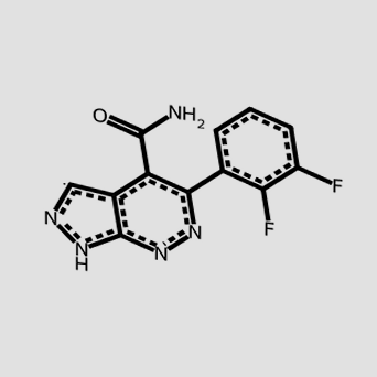 NC(=O)c1c(-c2cccc(F)c2F)nnc2[nH]n[c]c12